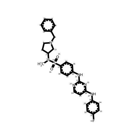 CN(C1CCN(Cc2ccccc2)C1)S(=O)(=O)c1ccc(Nc2nccc(Nc3ccc(F)cc3)n2)cc1